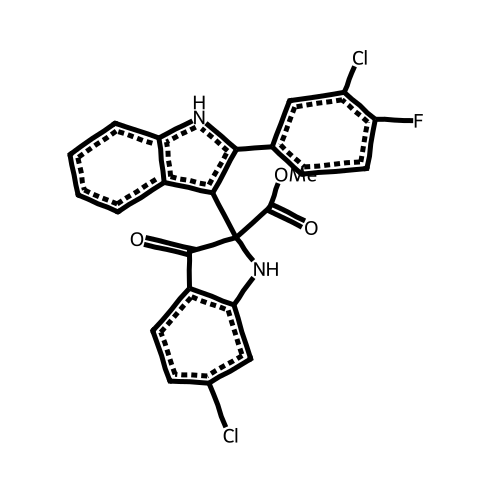 COC(=O)C1(c2c(-c3ccc(F)c(Cl)c3)[nH]c3ccccc23)Nc2cc(Cl)ccc2C1=O